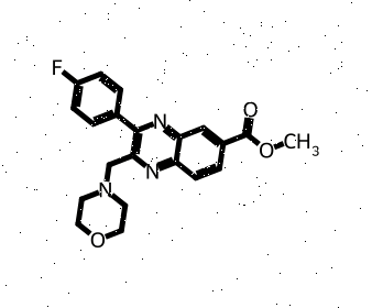 COC(=O)c1ccc2nc(CN3CCOCC3)c(-c3ccc(F)cc3)nc2c1